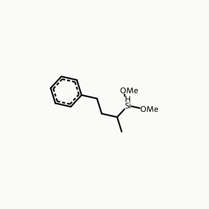 CO[SiH](OC)C(C)CCc1ccccc1